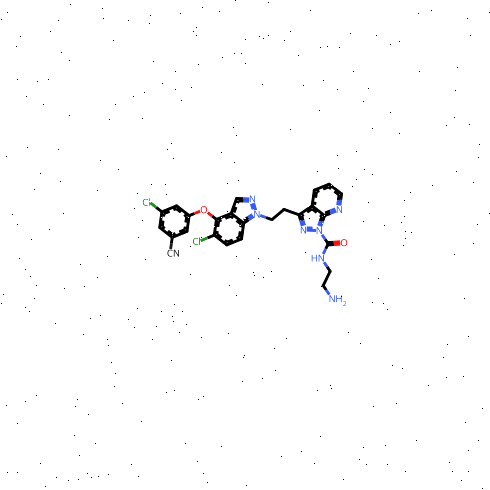 N#Cc1cc(Cl)cc(Oc2c(Cl)ccc3c2cnn3CCc2nn(C(=O)NCCN)c3ncccc23)c1